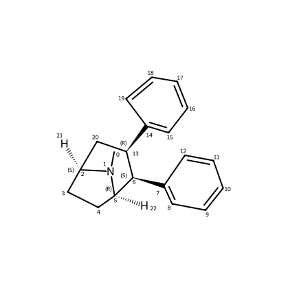 CN1[C@H]2CC[C@@H]1[C@H](c1ccccc1)[C@H](c1ccccc1)C2